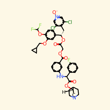 O=C(COC(=O)c1cccc(NC(C(=O)O[C@H]2CN3CCC2CC3)c2cccc(F)c2)c1)O[C@@H](Cc1c(Cl)c[n+]([O-])cc1Cl)c1ccc(OC(F)F)c(OCC2CC2)c1